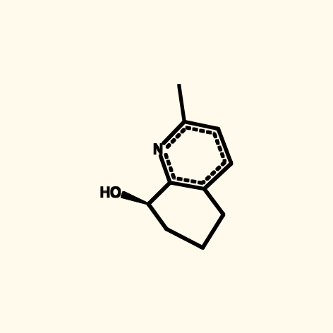 Cc1ccc2c(n1)[C@H](O)CCC2